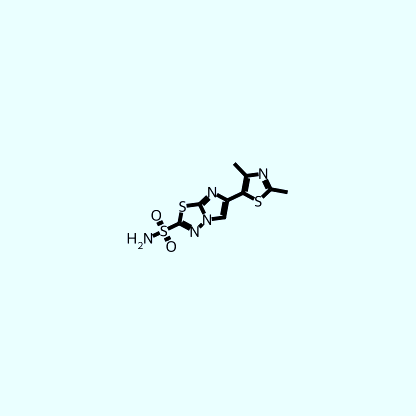 Cc1nc(C)c(-c2cn3nc(S(N)(=O)=O)sc3n2)s1